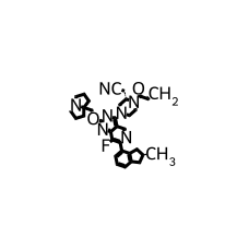 C=CC(=O)N1CCN(c2nc(OCC34CCCN3CCC4)nc3c(F)c(-c4cccc5c4C[C@H](C)C5)ncc23)C[C@@H]1CC#N